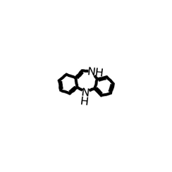 C1=CCC2=CNc3ccccc3NC2=C1